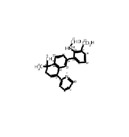 CC1(C)CC=C(c2ccccn2)c2cc(-c3cccc(C(=O)O)c3NC=O)ccc21